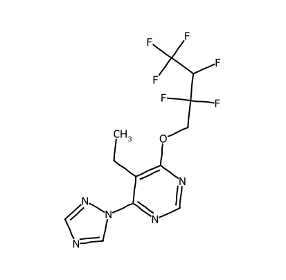 CCc1c(OCC(F)(F)C(F)C(F)(F)F)ncnc1-n1cncn1